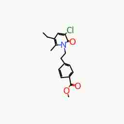 CCc1cc(Cl)c(=O)n(CCc2ccc(C(=O)OC)cc2)c1C